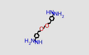 N=C(N)c1ccc(/C=C/OCCO/C=C/c2ccc(C(=N)N)cc2)cc1